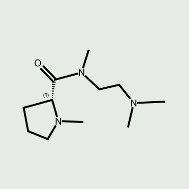 CN(C)CCN(C)C(=O)[C@H]1CCCN1C